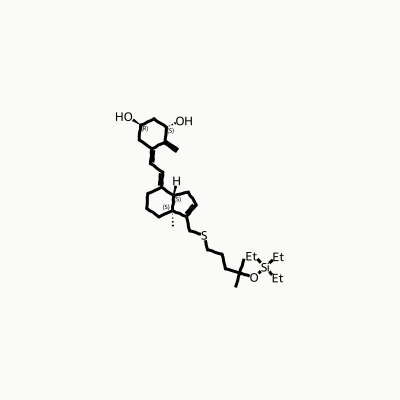 C=C1C(=CC=C2CCC[C@]3(C)C(CSCCCC(C)(C)O[Si](CC)(CC)CC)=CC[C@@H]23)C[C@@H](O)C[C@@H]1O